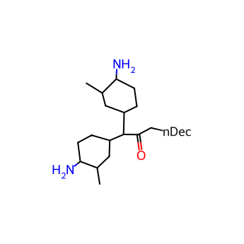 CCCCCCCCCCCC(=O)C(C1CCC(N)C(C)C1)C1CCC(N)C(C)C1